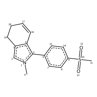 Cn1cc2c(c1-c1ccc(S(C)(=O)=O)cc1)C=CCC2